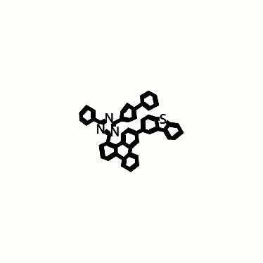 c1ccc(-c2ccc(-c3nc(-c4ccccc4)nc(-c4cccc5c6ccccc6c6cc(-c7ccc8sc9ccccc9c8c7)ccc6c45)n3)cc2)cc1